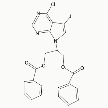 O=C(OCC(COC(=O)c1ccccc1)n1cc(I)c2c(Cl)ncnc21)c1ccccc1